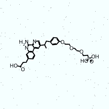 CC(Cc1ccc(OCCOCCOCCP(=O)(O)O)cc1)c1cnc2c(N)nc3cc(CCC(=O)O)ccc3c2c1